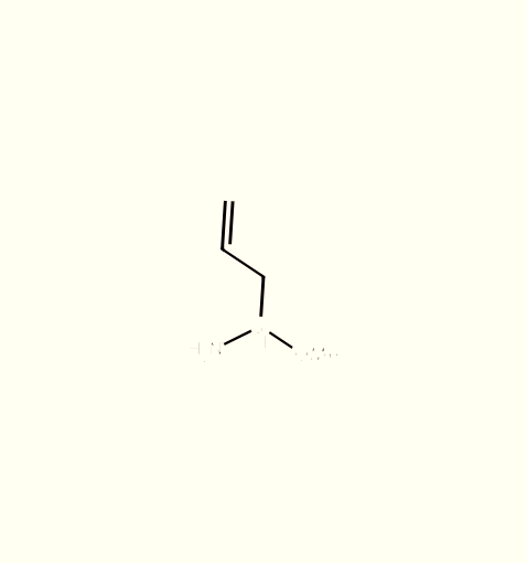 C=CC[SiH](N)OC